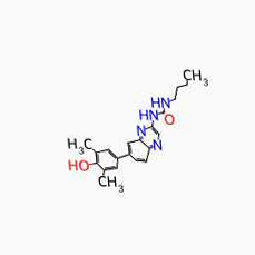 CCCCNC(=O)Nc1cnc2ccc(-c3cc(C)c(O)c(C)c3)cc2n1